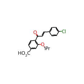 CC(C)Oc1cc(C(=O)O)ccc1C(=O)/C=C/c1ccc(Cl)cc1